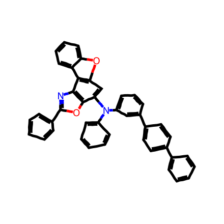 c1ccc(-c2ccc(-c3cccc(N(c4ccccc4)c4cc5oc6ccccc6c5c5nc(-c6ccccc6)oc45)c3)cc2)cc1